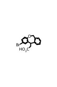 O=C(O)CC1c2ccccc2COc2ccc(Br)cc21